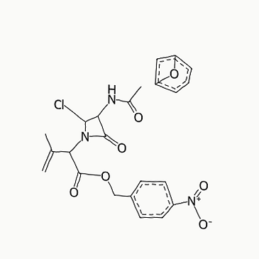 C=C(C)C(C(=O)OCc1ccc([N+](=O)[O-])cc1)N1C(=O)C(NC(C)=O)C1Cl.c1cc2cc(c1)O2